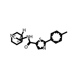 Cc1ccc(-c2ncc(C(=O)N[C@H]3CN4CCC3CC4)s2)cc1